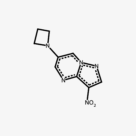 O=[N+]([O-])c1cnn2cc(N3CCC3)cnc12